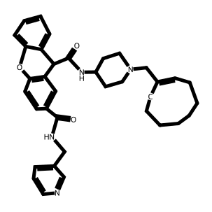 O=C(NCc1cccnc1)c1ccc2c(c1)C(C(=O)NC1CCN(CC3=CCCCCCCC3)CC1)c1ccccc1O2